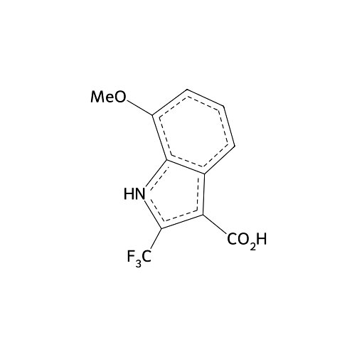 COc1cccc2c(C(=O)O)c(C(F)(F)F)[nH]c12